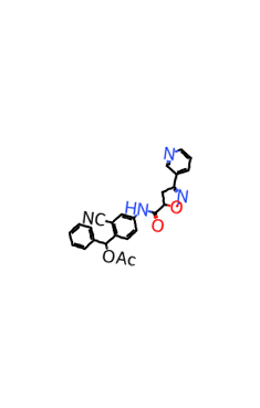 CC(=O)OC(c1ccccc1)c1ccc(NC(=O)C2CC(c3cccnc3)=NO2)cc1C#N